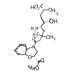 COC(=O)[C@H]1CN(C(=O)CC(C)(C)C[C@H](N)[C@@H](O)C[C@@H](C)C(=O)O)c2ccccc2O1